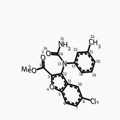 COC(=O)c1oc2ccc(Cl)cc2c1N(C(N)=O)c1cccc(C)c1